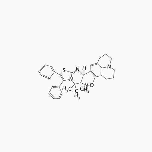 CC1(C)N2C(=N[C@H]3c4cc5c6c(c4ON[C@]31C)CCCN6CCC5)SC(c1ccccc1)=C2c1ccccc1